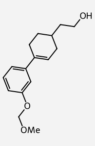 COCOc1cccc(C2=CCC(CCO)CC2)c1